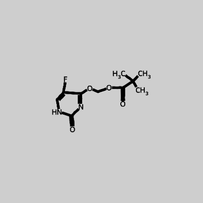 CC(C)(C)C(=O)OCOc1nc(=O)[nH]cc1F